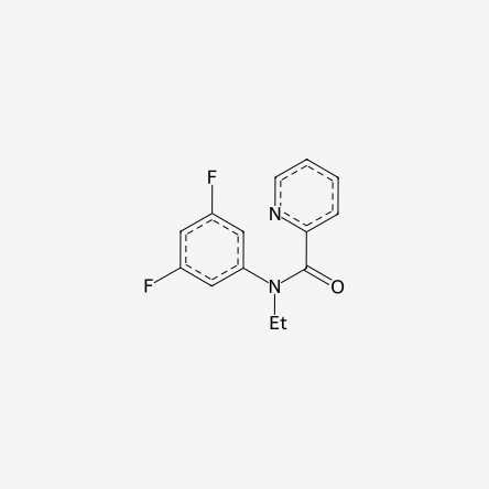 CCN(C(=O)c1ccccn1)c1cc(F)cc(F)c1